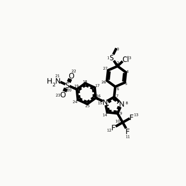 CSC1(Cl)C=CC(c2nc(C(F)(F)F)cn2-c2ccc(S(N)(=O)=O)cc2)C=C1